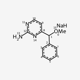 COC(c1ccccc1)c1ccnc(N)n1.[NaH]